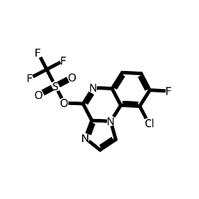 O=S(=O)(Oc1nc2ccc(F)c(Cl)c2n2ccnc12)C(F)(F)F